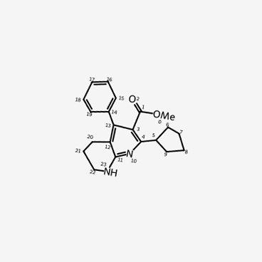 COC(=O)c1c(C2CCCC2)nc2c(c1-c1ccccc1)CCCN2